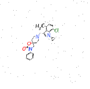 Cc1ccc(Cl)c2c1c(CN1CCC3(CC1)CN(c1ccccc1)C(=O)O3)cn2C1CC1